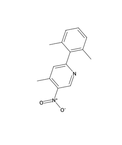 Cc1cc(-c2c(C)cccc2C)ncc1[N+](=O)[O-]